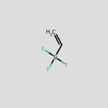 C=C[Si](F)(F)F